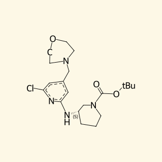 CC(C)(C)OC(=O)N1CCC[C@H](Nc2cc(CN3CCOCC3)cc(Cl)n2)C1